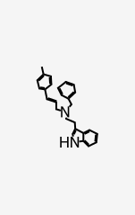 Cc1ccc(C=CCN(CCc2c[nH]c3ccccc23)Cc2ccccc2)cc1